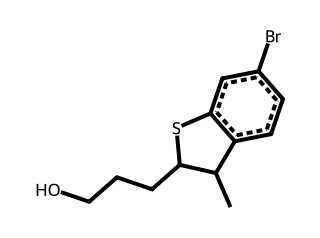 CC1c2ccc(Br)cc2SC1CCCO